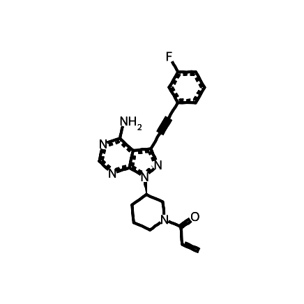 C=CC(=O)N1CCC[C@@H](n2nc(C#Cc3cccc(F)c3)c3c(N)ncnc32)C1